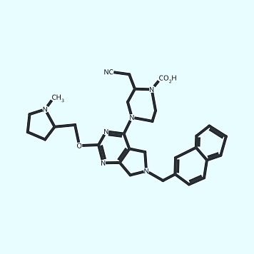 CN1CCCC1COc1nc2c(c(N3CCN(C(=O)O)C(CC#N)C3)n1)CN(Cc1ccc3ccccc3c1)C2